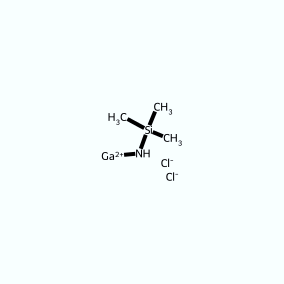 C[Si](C)(C)[NH][Ga+2].[Cl-].[Cl-]